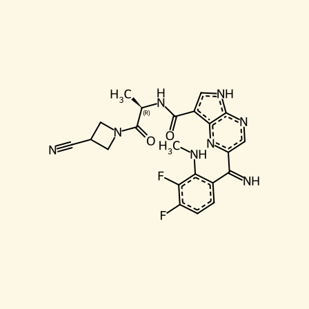 CNc1c(C(=N)c2cnc3[nH]cc(C(=O)N[C@H](C)C(=O)N4CC(C#N)C4)c3n2)ccc(F)c1F